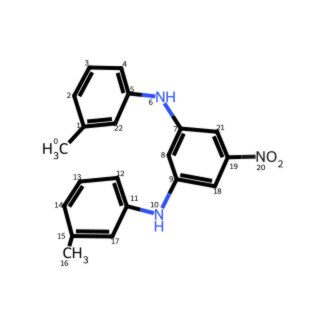 Cc1cccc(Nc2cc(Nc3cccc(C)c3)cc([N+](=O)[O-])c2)c1